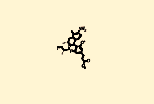 COC(=O)/C=C/c1cc(F)c(C2c3ccc(N)c(C)c3C[C@@H](C)N2C[C@H](C)CF)c(OC)c1